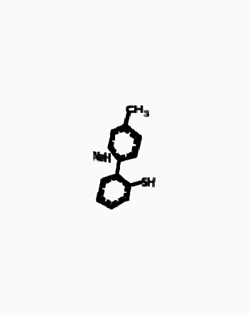 Cc1ccc(-c2ccccc2S)cc1.[NaH]